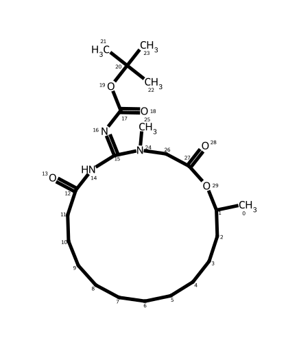 CC1CCCCCCCCCCC(=O)N/C(=N/C(=O)OC(C)(C)C)N(C)CC(=O)O1